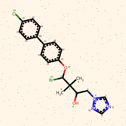 CC(C)(C(O)Cn1cncn1)C(Br)Oc1ccc(-c2ccc(Cl)cc2)cc1